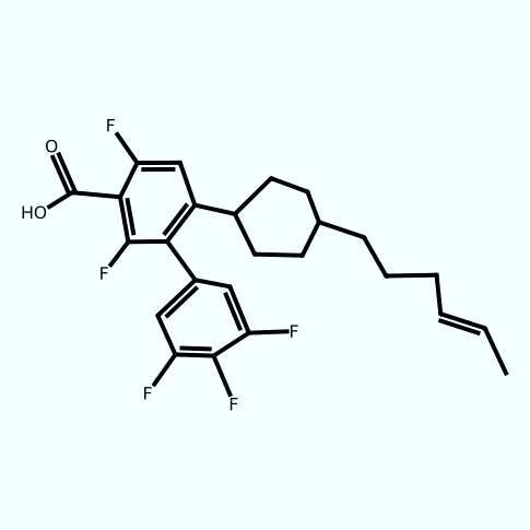 CC=CCCCC1CCC(c2cc(F)c(C(=O)O)c(F)c2-c2cc(F)c(F)c(F)c2)CC1